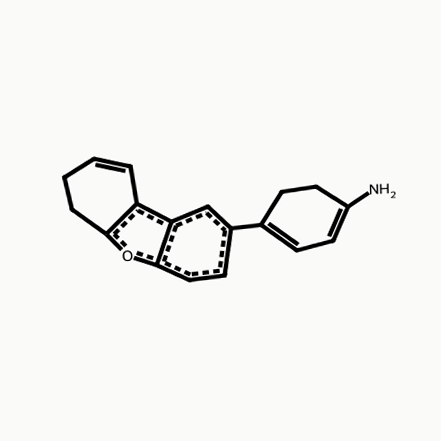 NC1=CC=C(c2ccc3oc4c(c3c2)C=CCC4)CC1